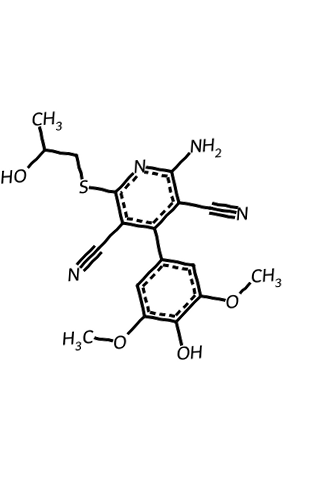 COc1cc(-c2c(C#N)c(N)nc(SCC(C)O)c2C#N)cc(OC)c1O